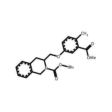 COC(=O)c1cc(OCC2Cc3ccccc3CN2C(=O)OC(C)(C)C)ccc1C